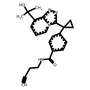 C#CCCNC(=O)c1ccc(C2(c3nnc4c(C(C)(C)O)cccn34)CC2)cc1